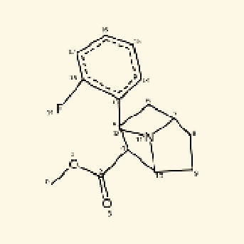 COC(=O)C1CCC2CCC1N2Cc1ccccc1F